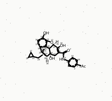 CC(=O)c1ccc(NC(=O)C2=C(O)[C@@H]3Oc4c(O)ccc5c4[C@@]34CCN(CC3CC3)[C@H](C5)[C@]4(O)C2)cc1